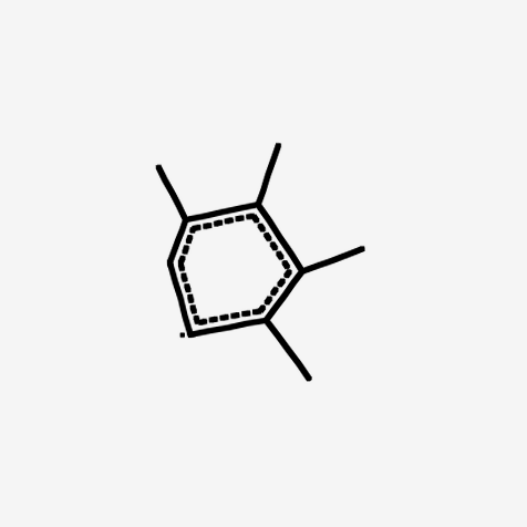 Cc1[c]cc(C)c(C)c1C